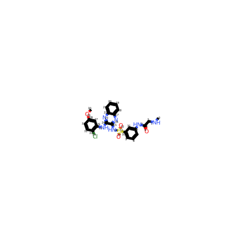 CNCC(=O)Nc1cccc(S(=O)(=O)Nc2nc3ccccc3nc2Nc2cc(OC)ccc2Cl)c1